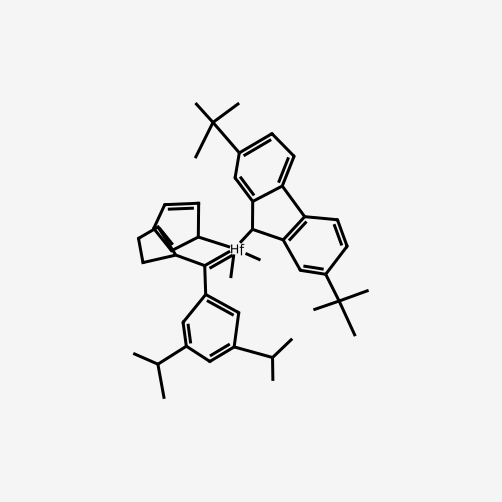 CC(C)c1cc([C](C2CCC2)=[Hf]([CH3])([CH3])([CH]2C=CC=C2)[CH]2c3cc(C(C)(C)C)ccc3-c3ccc(C(C)(C)C)cc32)cc(C(C)C)c1